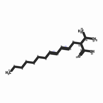 CCCCCCC/C=C/C=C/CC(C(=O)O)C(C)C